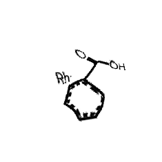 O=C(O)c1ccccc1.[Rh]